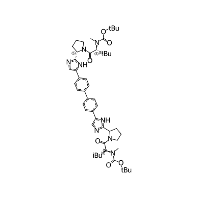 CC[C@H](C)[C@@H](C(=O)N1CCCC1c1ncc(-c2ccc(-c3ccc(-c4cnc([C@@H]5CCCN5C(=O)[C@H]([C@@H](C)CC)N(C)C(=O)OC(C)(C)C)[nH]4)cc3)cc2)[nH]1)N(C)C(=O)OC(C)(C)C